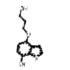 N#Cc1ccc(OCCCO)c2ccsc12